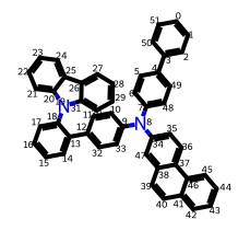 c1ccc(-c2ccc(N(c3ccc(-c4ccccc4-n4c5ccccc5c5ccccc54)cc3)c3ccc4c(ccc5ccccc54)c3)cc2)cc1